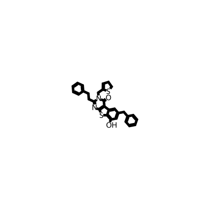 O=c1c2c(nc(CCc3ccccc3)n1CC1=CCCS1)sc1c(O)cc(Cc3ccccc3)cc12